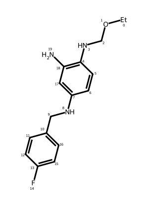 CCOCNc1ccc(NCc2ccc(F)cc2)cc1N